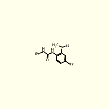 CCP(C)c1cc(C(C)C)ccc1NC(=O)NC(C)C